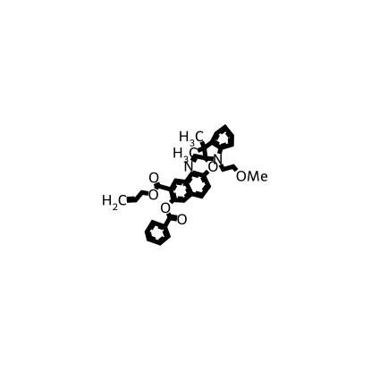 C=CCOC(=O)c1cc2c3c(ccc2cc1OC(=O)c1ccccc1)OC1(C=N3)N(CCOC)c2ccccc2C1(C)C